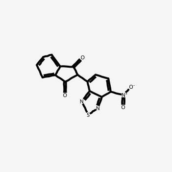 O=C1c2ccccc2C(=O)C1c1ccc([N+](=O)[O-])c2nsnc12